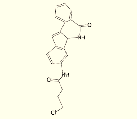 O=C(CCCCl)Nc1ccc2c(c1)C1NC(=O)c3ccccc3C1=C2